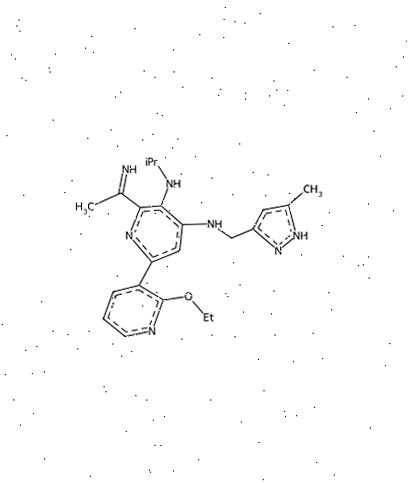 CCOc1ncccc1-c1cc(NCc2cc(C)[nH]n2)c(NC(C)C)c(C(C)=N)n1